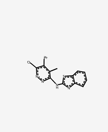 Cc1c(Nc2nc3ccccc3s2)nnc(Cl)c1C(C)C